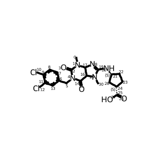 CN1C(=O)N(Cc2ccc(Cl)c(Cl)c2)C(=O)C2C1N=C(N[C@H]1CC[C@H](C(=O)O)C1)N2C